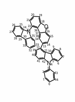 c1ccc(-n2c3ccccc3c3c(-c4ccc5oc6cccc(-n7c8ccccc8c8ccccc87)c6c5c4)cccc32)cc1